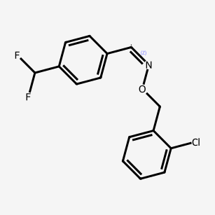 FC(F)c1ccc(/[C]=N\OCc2ccccc2Cl)cc1